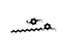 CCCCCCCCCCCCCCOc1cccc(N)c1.COc1ccc(N)cc1